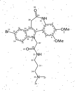 COc1cc2c(cc1OC)-c1c(c3cc(Br)ccc3n1CC(=O)NCCCN(C)C)CC(=O)N2